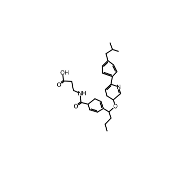 CCCC(OC1C=NC(c2ccc(CC(C)C)cc2)=CC1)C1=CCC(C(=O)NCCC(=O)O)C=C1